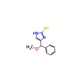 COC(c1ccccc1)c1c[nH]c(S)n1